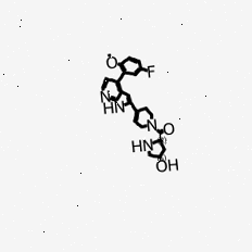 COc1ccc(F)cc1-c1ccnc2[nH]c(C3=CCN(C(=O)[C@H]4C[C@H](O)CN4)CC3)cc12